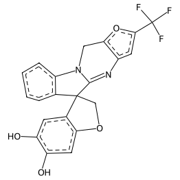 Oc1cc2c(cc1O)C1(CO2)C2=Nc3cc(C(F)(F)F)oc3CN2c2ccccc21